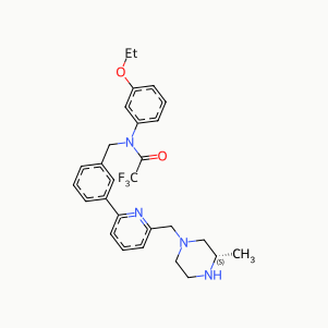 CCOc1cccc(N(Cc2cccc(-c3cccc(CN4CCN[C@@H](C)C4)n3)c2)C(=O)C(F)(F)F)c1